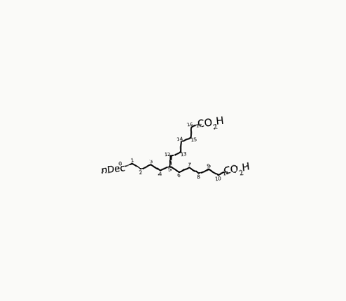 CCCCCCCCCCCCCCC(CCCCCC(=O)O)CCCCCC(=O)O